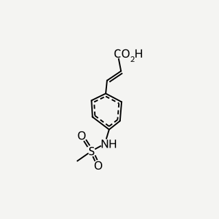 CS(=O)(=O)Nc1ccc(C=CC(=O)O)cc1